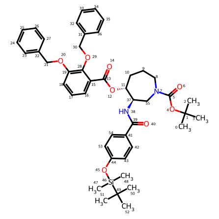 CC(C)(C)OC(=O)N1CCC[C@@H](OC(=O)c2cccc(OCc3ccccc3)c2OCc2ccccc2)[C@H](NC(=O)c2ccc(O[Si](C)(C)C(C)(C)C)cc2)C1